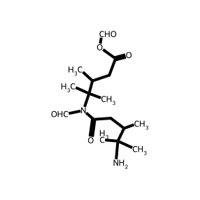 CC(CC(=O)N(C=O)C(C)(C)C(C)CC(=O)OC=O)C(C)(C)N